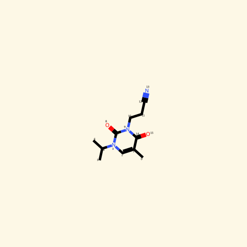 Cc1cn(C(C)C)c(=O)n(CCC#N)c1=O